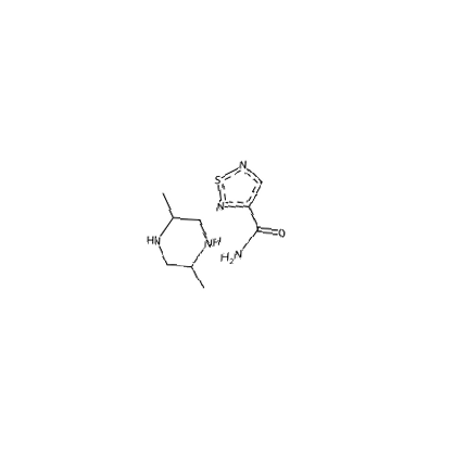 CC1CNC(C)CN1.NC(=O)c1cnsn1